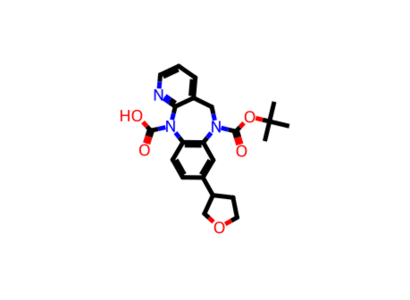 CC(C)(C)OC(=O)N1Cc2cccnc2N(C(=O)O)c2ccc(C3CCOC3)cc21